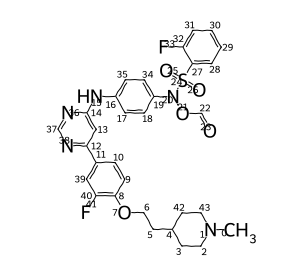 CN1CCC(CCOc2ccc(-c3cc(Nc4ccc(N(OC=O)S(=O)(=O)c5ccccc5F)cc4)ncn3)cc2F)CC1